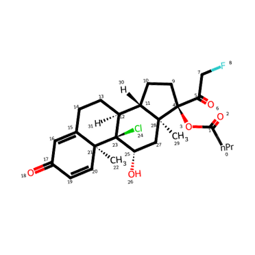 CCCC(=O)O[C@]1(C(=O)CF)CC[C@H]2[C@@H]3CCC4=CC(=O)C=C[C@]4(C)[C@@]3(Cl)[C@@H](O)C[C@@]21C